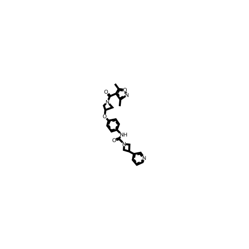 Cc1noc(C)c1C(=O)N1CC(Oc2ccc(NC(=O)N3CC(c4cccnc4)C3)cc2)C1